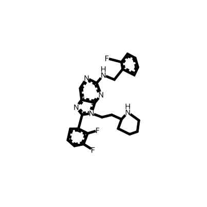 Fc1ccccc1CNc1ncc2nc(-c3cccc(F)c3F)n(CCC3CCCCN3)c2n1